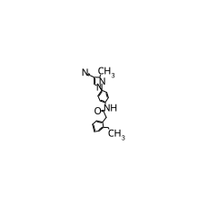 CCc1ccccc1CC(=O)Nc1ccc(-n2cc(C#N)c(C)n2)cc1